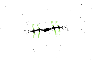 FC(F)(F)C(F)(F)C(F)(F)C#CC(F)(F)C(F)(F)C(F)(F)F